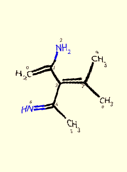 C=C(N)C(C(C)=N)=C(C)C